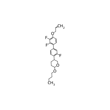 C=CCOc1ccc(-c2ccc(C3CCC(OCCCC)OC3)c(F)c2)c(F)c1F